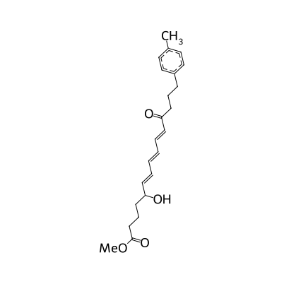 COC(=O)CCCC(O)C=CC=CC=CC(=O)CCCc1ccc(C)cc1